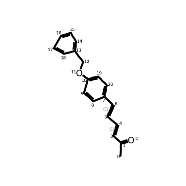 CC(=O)/C=C/C=C/c1ccc(OCc2ccccc2)cc1